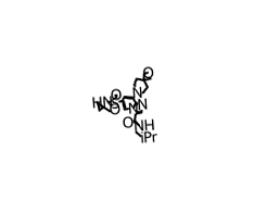 CC(C)CNC(=O)c1cnc2c(N3CCC4(CC3)COC4)cc(S(=O)(=O)NC3(C)CC3)cn12